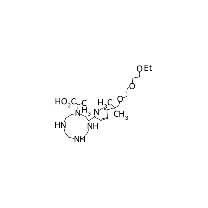 CCOCCOCCOCC(C)(C)c1ccc(C2CN(C(C)C(=O)O)CCNCCNCCN2)nc1